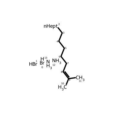 Br.Br.CCCCCCCCCCCCC=C(C)C.N.N